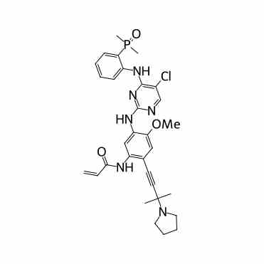 C=CC(=O)Nc1cc(Nc2ncc(Cl)c(Nc3ccccc3P(C)(C)=O)n2)c(OC)cc1C#CC(C)(C)N1CCCC1